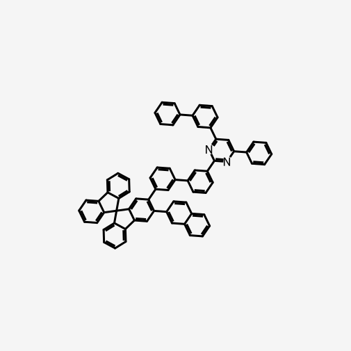 c1ccc(-c2cccc(-c3cc(-c4ccccc4)nc(-c4cccc(-c5cccc(-c6cc7c(cc6-c6ccc8ccccc8c6)-c6ccccc6C76c7ccccc7-c7ccccc76)c5)c4)n3)c2)cc1